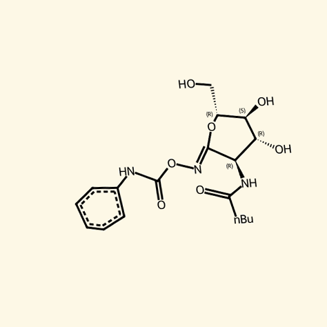 CCCCC(=O)N[C@H]1C(=NOC(=O)Nc2ccccc2)O[C@H](CO)[C@@H](O)[C@@H]1O